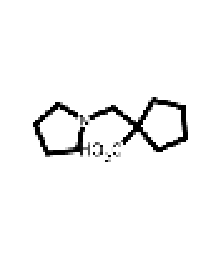 O=C(O)C1(CN2CCCC2)CCCC1